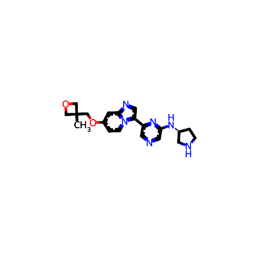 CC1(COc2ccn3c(-c4cncc(N[C@@H]5CCNC5)n4)cnc3c2)COC1